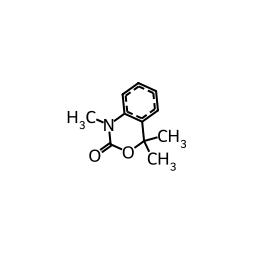 CN1C(=O)OC(C)(C)c2ccccc21